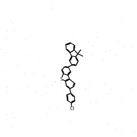 CC1(C)c2ccccc2-c2cc(-c3ccc4sc5cc(-c6ccc(Cl)cc6)ccc5c4c3)ccc21